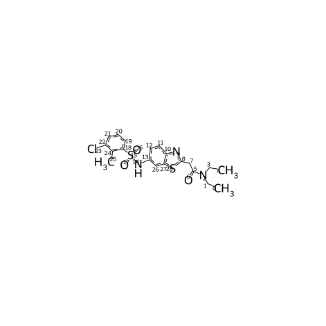 CCN(CC)C(=O)Cc1nc2ccc(NS(=O)(=O)c3cccc(Cl)c3C)cc2s1